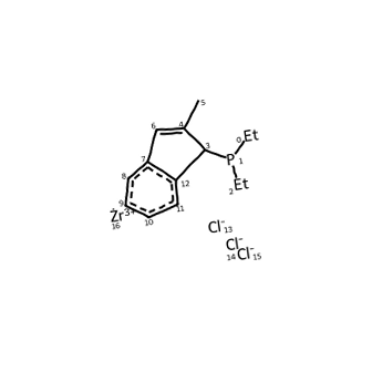 CCP(CC)C1C(C)=Cc2ccccc21.[Cl-].[Cl-].[Cl-].[Zr+3]